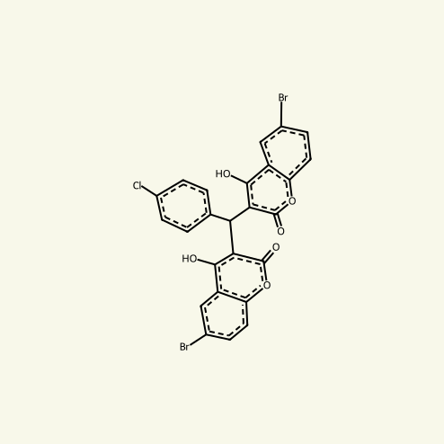 O=c1oc2ccc(Br)cc2c(O)c1C(c1ccc(Cl)cc1)c1c(O)c2cc(Br)ccc2oc1=O